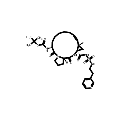 CC(C)(C)OC(=O)N[C@H]1CCCCC/C=C\[C@@H]2C[C@@]2(C(=O)NS(=O)(=O)NCCc2cccnc2)NC(=O)[C@@H]2CCCN2C1=O